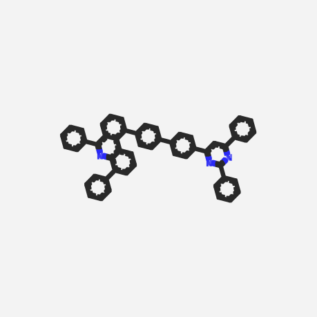 c1ccc(-c2cc(-c3ccc(-c4ccc(-c5cccc6c(-c7ccccc7)nc7c(-c8ccccc8)cccc7c56)cc4)cc3)nc(-c3ccccc3)n2)cc1